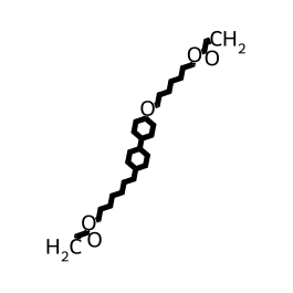 C=CC(=O)OCCCCCCCOC1CCC(C2CCC(CCCCCCCOC(=O)C=C)CC2)CC1